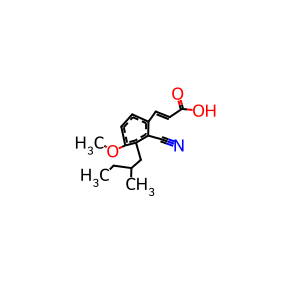 CCC(C)Cc1c(OC)ccc(C=CC(=O)O)c1C#N